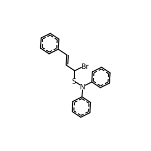 BrC(C=Cc1ccccc1)SN(c1ccccc1)c1ccccc1